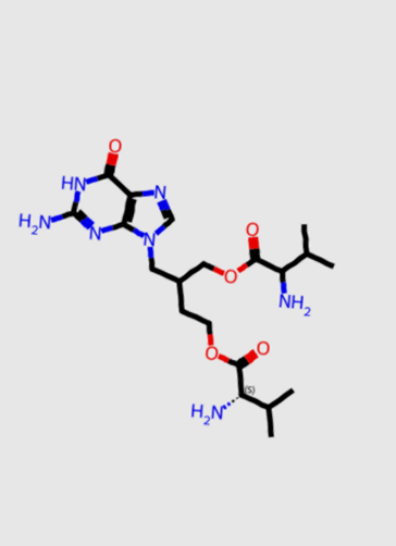 CC(C)C(N)C(=O)OCC(CCOC(=O)[C@@H](N)C(C)C)Cn1cnc2c(=O)[nH]c(N)nc21